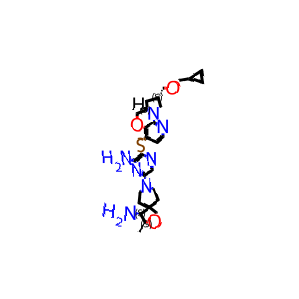 C[C@@H]1OCC2(CCN(c3cnc(Sc4ccnc5c4OC[C@@H]4C[C@H](COCC6CC6)CN54)c(N)n3)CC2)[C@@H]1N